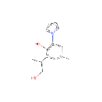 Cc1cc(C(C)CO)c(O)c(-n2cccc2)c1